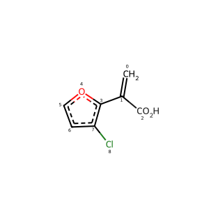 C=C(C(=O)O)c1occc1Cl